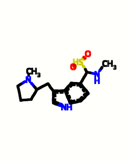 CNC(c1ccc2[nH]cc(CC3CCCN3C)c2c1)[SH](=O)=O